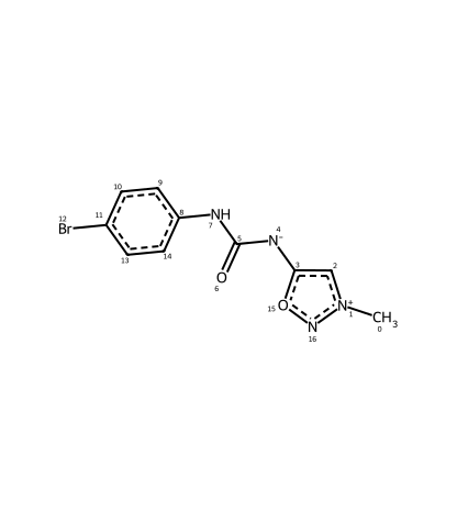 C[n+]1cc([N-]C(=O)Nc2ccc(Br)cc2)on1